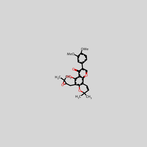 COc1ccc(-c2coc3c4c(c(CC5OC5(C)C)c(O)c3c2=O)OC(C)(C)C=C4)cc1OC